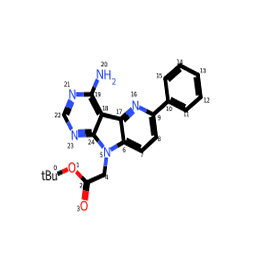 CC(C)(C)OC(=O)Cn1c2ccc(-c3ccccc3)nc2c2c(N)ncnc21